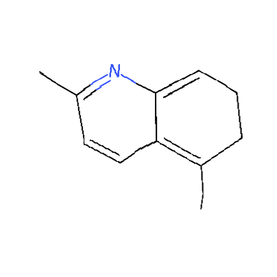 CC1=c2ccc(C)nc2=CCC1